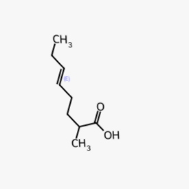 CC/C=C/CCC(C)C(=O)O